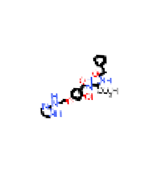 O=C(Cc1ccccc1)N[C@@H](CNC(=O)c1ccc(OCCNC2=NCCCN2)cc1O)C(=O)O